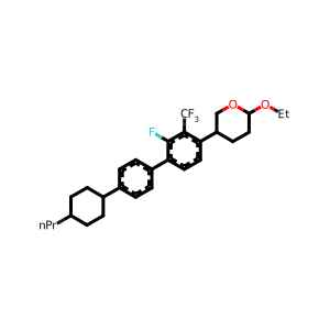 CCCC1CCC(c2ccc(-c3ccc(C4CCC(OCC)OC4)c(C(F)(F)F)c3F)cc2)CC1